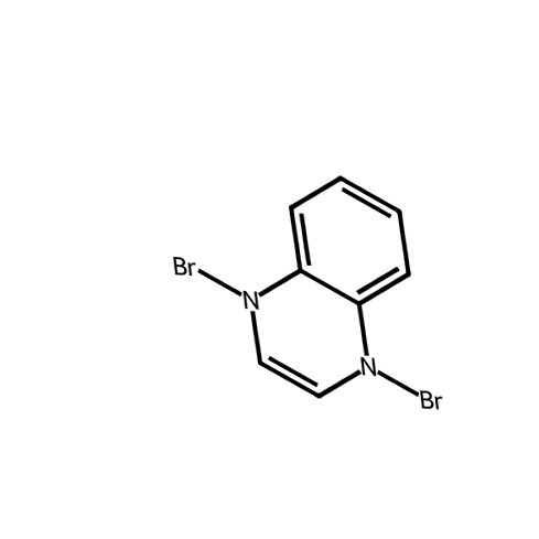 BrN1C=CN(Br)c2ccccc21